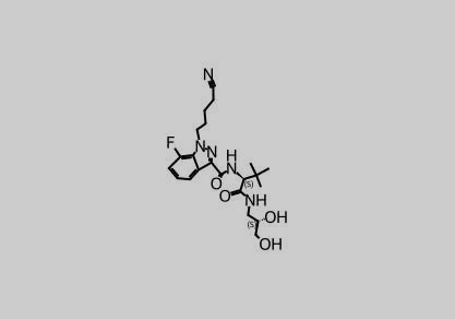 CC(C)(C)[C@H](NC(=O)c1nn(CCCCC#N)c2c(F)cccc12)C(=O)NC[C@H](O)CO